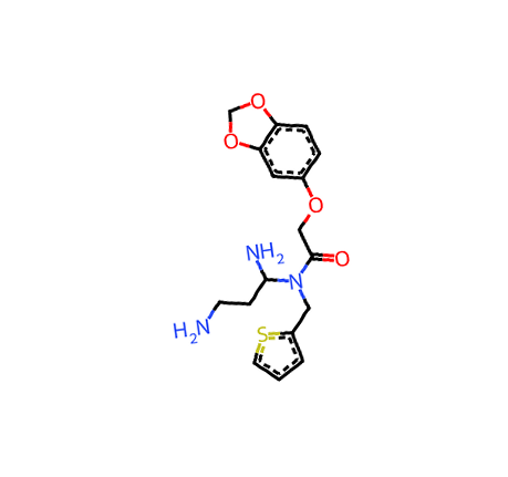 NCCC(N)N(Cc1cccs1)C(=O)COc1ccc2c(c1)OCO2